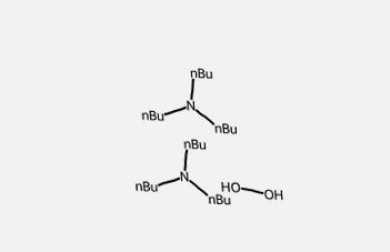 CCCCN(CCCC)CCCC.CCCCN(CCCC)CCCC.OO